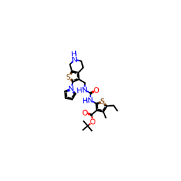 CCc1sc(NC(=O)NCc2c(-n3cccc3)sc3c2CCNC3)c(C(=O)OC(C)(C)C)c1C